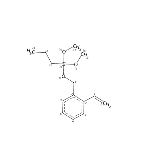 C=Cc1ccccc1CO[Si](CCC)(OC)OC